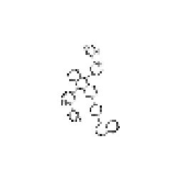 c1ccc2c(-c3ccc(-c4ccc5c(-c6ccnc(-c7cocn7)c6)c6ccccc6c(-c6ccnc(-c7cocn7)c6)c5c4)cc3)cccc2c1